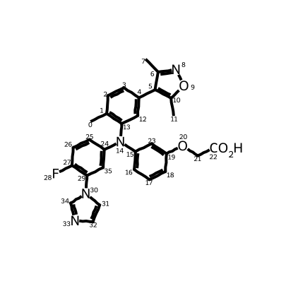 Cc1ccc(-c2c(C)noc2C)cc1N(c1cccc(OCC(=O)O)c1)c1ccc(F)c(-n2ccnc2)c1